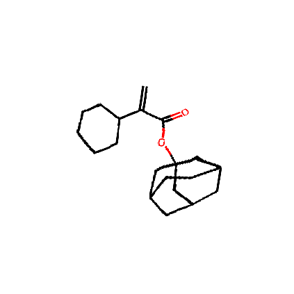 C=C(C(=O)OC12CC3CC(CC(C3)C1)C2)C1CCCCC1